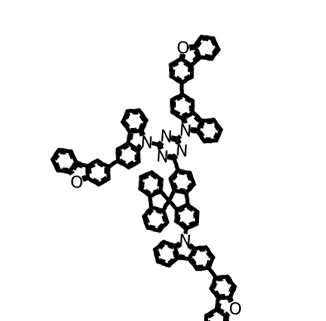 c1ccc2c(c1)-c1ccccc1C21c2cc(-c3nc(-n4c5ccccc5c5cc(-c6ccc7oc8ccccc8c7c6)ccc54)nc(-n4c5ccccc5c5cc(-c6ccc7oc8ccccc8c7c6)ccc54)n3)ccc2-c2ccc(-n3c4ccccc4c4cc(-c5ccc6oc7ccccc7c6c5)ccc43)cc21